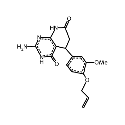 C=CCOc1ccc(C2CC(=O)Nc3nc(N)[nH]c(=O)c32)cc1OC